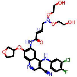 N#Cc1cnc2cc(OC3CCOC3)c(NC(=O)/C=C/CN(OCCO)OCCO)cc2c1Nc1ccc(F)c(Cl)c1